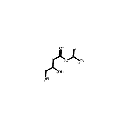 CC(C)CC(O)CC(=O)OC(C)C(C)C